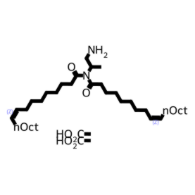 CC(=O)O.CC(=O)O.CCCCCCCC/C=C\CCCCCCCC(=O)N(C(=O)CCCCCCC/C=C\CCCCCCCC)C(C)CN